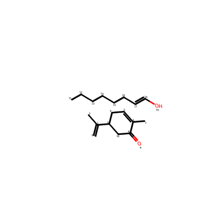 C=C(C)C1CC=C(C)C(=O)C1.CCCCCCC=CO